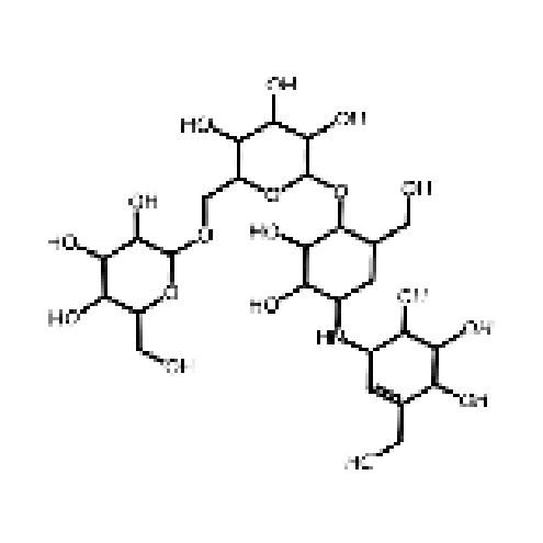 OCC1=CC(NC2CC(CO)C(OC3OC(COC4OC(CO)C(O)C(O)C4O)C(O)C(O)C3O)C(O)C2O)C(O)C(O)C1O